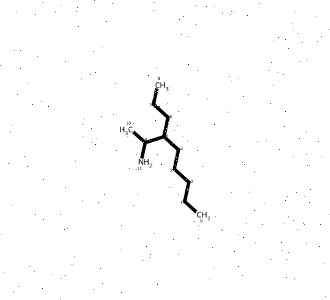 CCCCCC(CCC)C(C)N